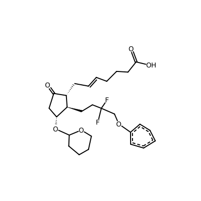 O=C(O)CCCC=CC[C@H]1C(=O)C[C@@H](OC2CCCCO2)[C@@H]1CCC(F)(F)COc1ccccc1